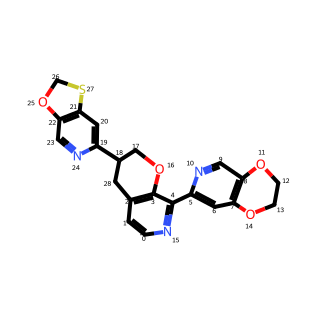 [c]1cc2c(c(-c3cc4c(cn3)OCCO4)n1)OCC(c1cc3c(cn1)OCS3)C2